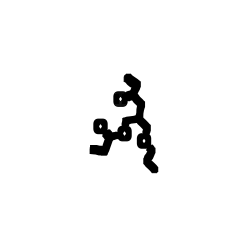 C=CC(=O)CC(COCCC)COC(=O)C=C